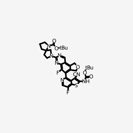 CC(C)(C)OC(=O)Nc1sc2c(F)cnc(-c3c4c(c5cnc(N6CCC7(CCCN7C(=O)OC(C)(C)C)C6)nc5c3F)COC4)c2c1C#N